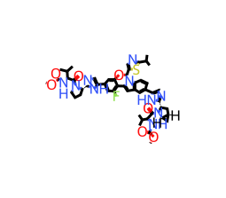 COC(=O)NC(C(=O)N1CCC[C@H]1c1ncc(-c2cc(F)c3c(c2)OC(c2cnc(C(C)C)s2)n2c-3cc3cc(-c4cnc([C@@H]5C[C@H]6C[C@H]6N5C(=O)C(NC(=O)OC)C(C)C)[nH]4)ccc32)[nH]1)C(C)C